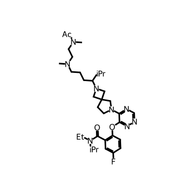 CCN(C(=O)c1cc(F)ccc1Oc1nncnc1N1CCC2(C1)CN(C(CCCN(C)CCN(C)C(C)=O)C(C)C)C2)C(C)C